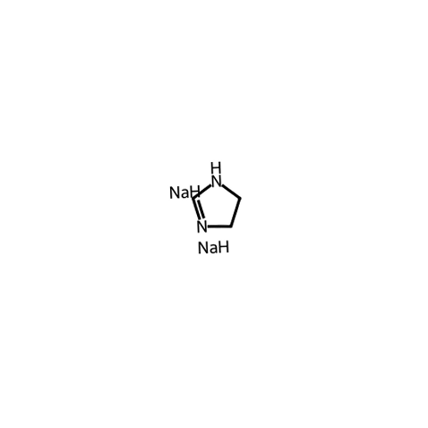 C1=NCCN1.[NaH].[NaH]